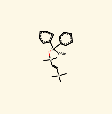 CO[Si](O[Si](C)(C)C=C[Si](C)(C)C)(c1ccccc1)c1ccccc1